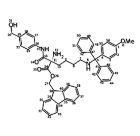 COc1ccc(C(NCCCC[C@](N)(C(=O)Nc2ccc(CO)cc2)C(=O)OCC2c3ccccc3-c3ccccc32)(c2ccccc2)c2ccccc2)cc1